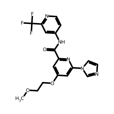 COCCOc1cc(C(=O)Nc2ccnc(C(F)(F)F)c2)nc(-n2ccnc2)c1